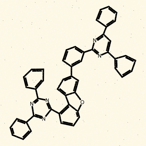 c1ccc(-c2cc(-c3ccccc3)nc(-c3cccc(-c4ccc5c(c4)oc4cccc(-c6nc(-c7ccccc7)nc(-c7ccccc7)n6)c45)c3)n2)cc1